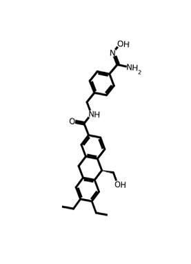 CCc1cc2c(cc1CC)[C@H](CO)c1ccc(C(=O)NCc3ccc(C(N)=NO)cc3)cc1C2